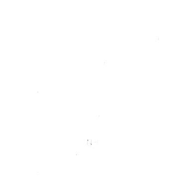 c1ccc2c(-c3cc4ccc5cccc6[nH]c(c3)c4c56)cccc2c1